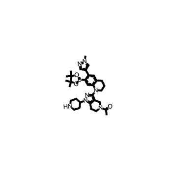 CC(=O)N1CCc2c(c(N3CCCc4cc(-c5cnn(C)c5)c(B5OC(C)(C)C(C)(C)O5)cc43)nn2C2CCNCC2)C1